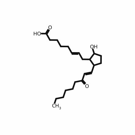 CCCCCCC(=O)C=CC1CCC(O)C1CC=CCCCCC(=O)O